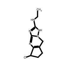 CCNC1=NC2=NC3=C(CCC3Cl)CN2N1